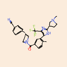 Cc1ccc(C(=O)N2CC(c3ccc(C#N)cc3)C2)cc1-c1[nH]c(C2CCN(C)C2)nc1C(F)(F)F